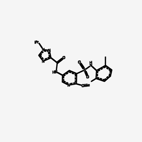 COc1ncc(NC(=O)c2ncn(C(C)C)n2)cc1S(=O)(=O)Nc1c(C)cccc1C